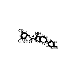 COc1ccc(Cl)cc1NC(=O)c1sc2nc(-c3ccc(C)cc3)ccc2c1N